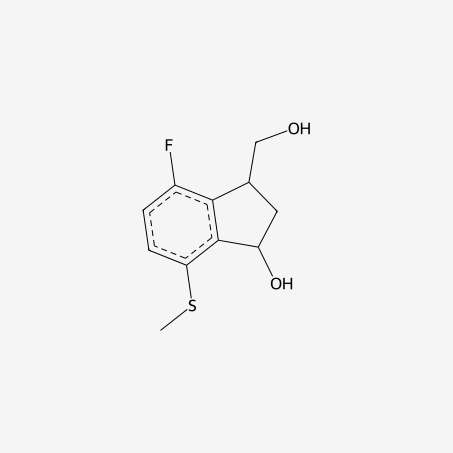 CSc1ccc(F)c2c1C(O)CC2CO